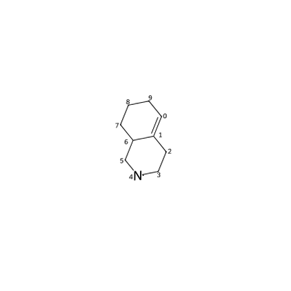 C1=C2CC[N]CC2CCC1